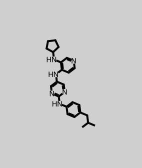 CC(C)Cc1ccc(Nc2ncc(Nc3ccncc3NC3CCCC3)cn2)cc1